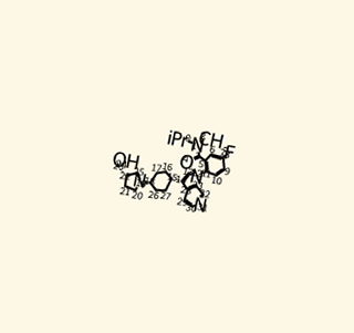 CC(C)N(C)C(=O)c1cc(F)ccc1-n1cc([C@H]2CC[C@H](N3CC[C@H](CO)C3)CC2)c2ccncc21